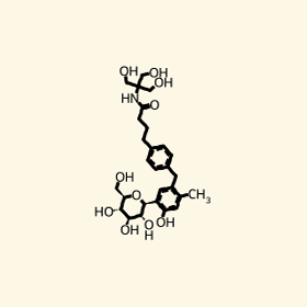 Cc1cc(O)c([C@@H]2O[C@H](CO)[C@@H](O)[C@H](O)[C@H]2O)cc1Cc1ccc(CCCC(=O)NC(CO)(CO)CO)cc1